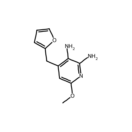 COc1cc(Cc2ccco2)c(N)c(N)n1